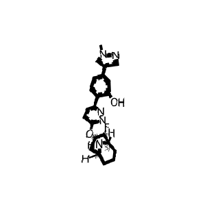 Cn1cc(-c2ccc(-c3ccc(O[C@@H]4C[C@H]5CCC[C@H](N5)[C@H]4F)nn3)c(O)c2)cn1